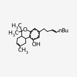 CCCC/C=C/CCc1cc(O)c2c(c1)OC(C)(C)C1CC=C(C)CC21